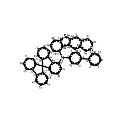 c1ccc(-c2ccc(N(c3cccc4c3-c3ccccc3C43c4ccccc4-c4ccccc43)c3cccc4sc5cc6ccncc6cc5c34)cc2)cc1